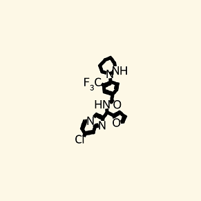 O=C(NC(c1cn2ccc(Cl)cc2n1)c1ccco1)c1ccc(N2CCCCCN2)c(C(F)(F)F)c1